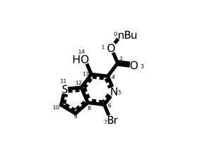 CCCCOC(=O)c1nc(Br)c2ccsc2c1O